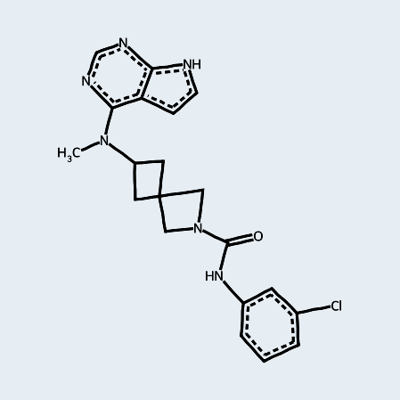 CN(c1ncnc2[nH]ccc12)C1CC2(C1)CN(C(=O)Nc1cccc(Cl)c1)C2